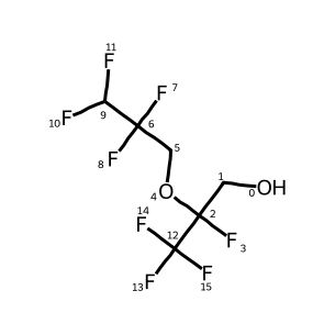 OCC(F)(OCC(F)(F)C(F)F)C(F)(F)F